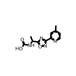 Cc1ccnc(-c2noc(C(C)NC(=O)O)n2)c1